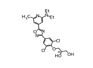 CCN(CC)c1cc(-c2nc(-c3cc(Cl)c(OC[C@H](O)CO)c(Cl)c3)no2)cc(C)n1